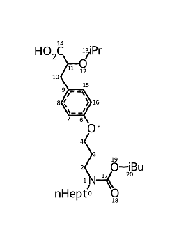 CCCCCCCN(CCCOc1ccc(CC(OC(C)C)C(=O)O)cc1)C(=O)OC(C)CC